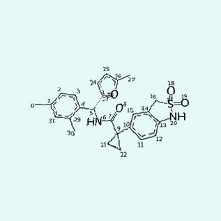 Cc1ccc(C(NC(=O)C2(c3ccc4c(c3)CS(=O)(=O)N4)CC2)c2ccc(C)o2)c(C)c1